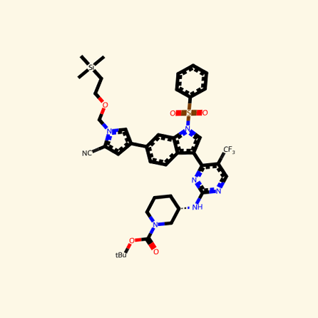 CC(C)(C)OC(=O)N1CCC[C@H](Nc2ncc(C(F)(F)F)c(-c3cn(S(=O)(=O)c4ccccc4)c4cc(-c5cc(C#N)n(COCC[Si](C)(C)C)c5)ccc34)n2)C1